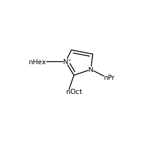 CCCCCCCCc1n(CCC)cc[n+]1CCCCCC